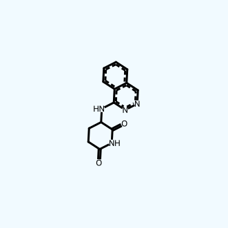 O=C1CCC(Nc2nncc3ccccc23)C(=O)N1